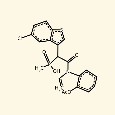 C=CN(C(=O)C(c1csc2ccc(Cl)cc12)P(C)(=O)O)c1ccccc1OC(C)=O